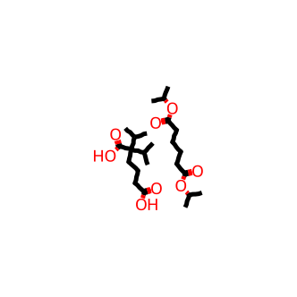 CC(C)C(CCCC(=O)O)(C(=O)O)C(C)C.CC(C)OC(=O)CCCCC(=O)OC(C)C